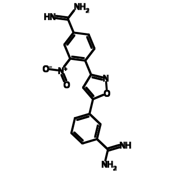 N=C(N)c1cccc(-c2cc(-c3ccc(C(=N)N)cc3[N+](=O)[O-])no2)c1